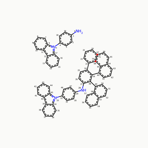 Nc1ccc(-n2c3ccccc3c3ccccc32)cc1.c1ccc(-c2ccc(Nc3ccc(-n4c5ccccc5c5ccccc54)cc3)c(-c3cccc4ccccc34)c2-c2cccc3ccccc23)cc1